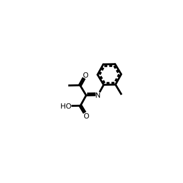 CC(=O)/C(=N\c1ccccc1C)C(=O)O